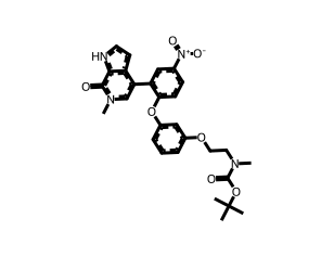 CN(CCOc1cccc(Oc2ccc([N+](=O)[O-])cc2-c2cn(C)c(=O)c3[nH]ccc23)c1)C(=O)OC(C)(C)C